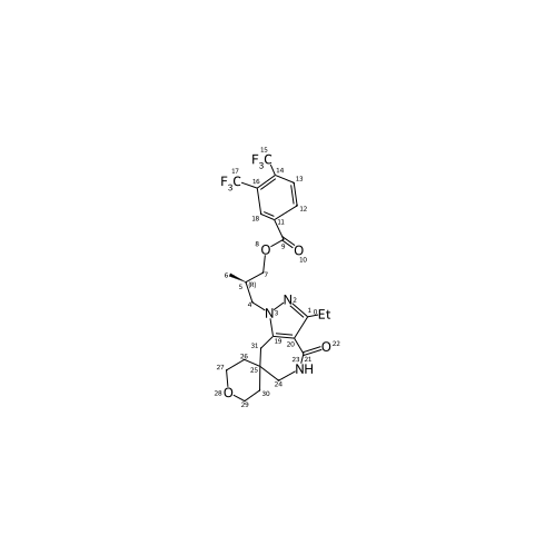 CCc1nn(C[C@@H](C)COC(=O)c2ccc(C(F)(F)F)c(C(F)(F)F)c2)c2c1C(=O)NCC1(CCOCC1)C2